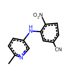 Cc1ccc(Nc2cc(C#N)ccc2[N+](=O)[O-])cn1